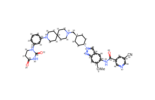 COc1cc2nn([C@H]3CC[C@H](CN4CCC5(CC4)CCN(c4cccc(N6CCC(=O)NC6=O)c4)CC5)CC3)cc2cc1NC(=O)c1cncc(C#N)c1